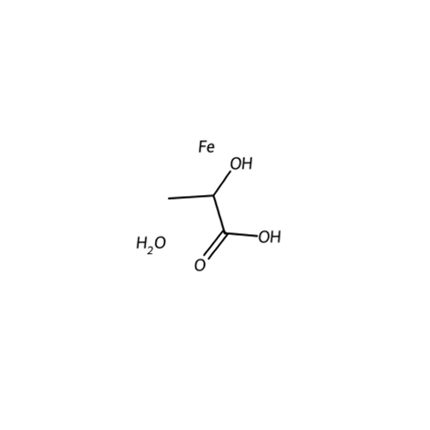 CC(O)C(=O)O.O.[Fe]